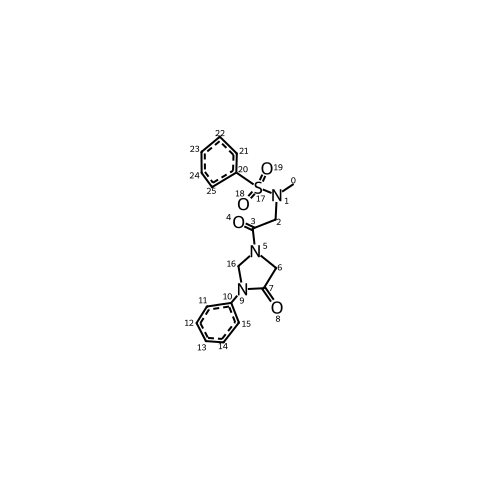 CN(CC(=O)N1CC(=O)N(c2ccccc2)C1)S(=O)(=O)c1ccccc1